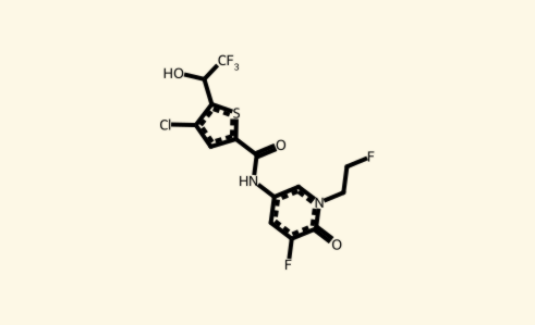 O=C(Nc1cc(F)c(=O)n(CCF)c1)c1cc(Cl)c(C(O)C(F)(F)F)s1